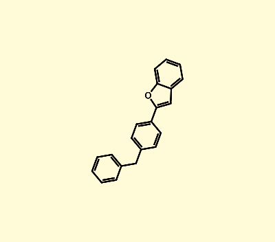 c1ccc(Cc2ccc(-c3cc4ccccc4o3)cc2)cc1